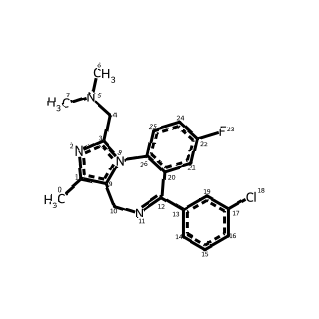 Cc1nc(CN(C)C)n2c1CN=C(c1cccc(Cl)c1)c1cc(F)ccc1-2